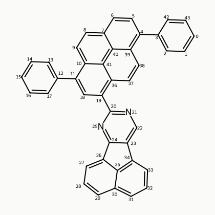 c1ccc(-c2ccc3ccc4c(-c5ccccc5)cc(-c5ncc6c(n5)-c5cccc7cccc-6c57)c5ccc2c3c45)cc1